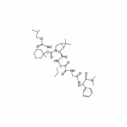 CCC[C@H](NC(=O)[C@@H]1C2C(CN1C(=O)[C@@H](NC(=O)OCC(C)C)C1(C)CCCCC1)C2(C)C)C(=O)C(=O)NCC(=O)N[C@H](C(=O)N(C)C)c1ccccc1